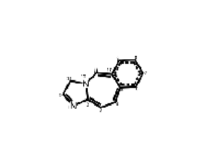 C1=NC2=CC=c3ccccc3=CN2C1